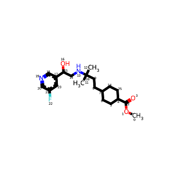 COC(=O)C1CCC(CCC(C)(C)NCC(O)c2cncc(F)c2)CC1